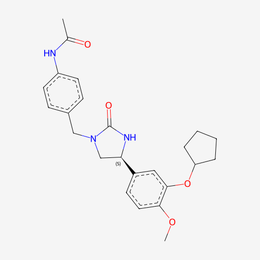 COc1ccc([C@H]2CN(Cc3ccc(NC(C)=O)cc3)C(=O)N2)cc1OC1CCCC1